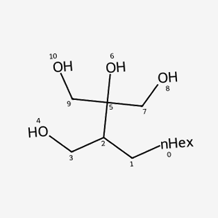 CCCCCCCC(CO)C(O)(CO)CO